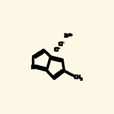 CC1=CC2=NC=CC2=C1.[Cl-].[Cl-].[Zr+2]